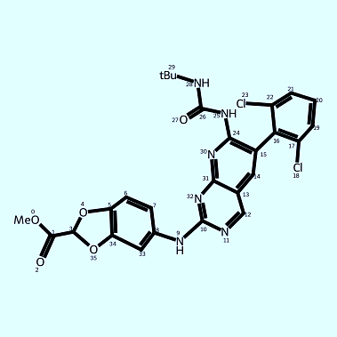 COC(=O)C1Oc2ccc(Nc3ncc4cc(-c5c(Cl)cccc5Cl)c(NC(=O)NC(C)(C)C)nc4n3)cc2O1